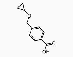 O=C(O)c1ccc(COC2CC2)cc1